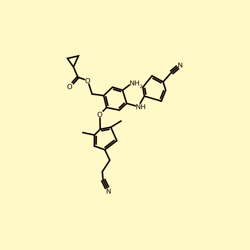 Cc1cc(CCC#N)cc(C)c1Oc1cc(Nc2ccc(C#N)cc2)c(N)cc1COC(=O)C1CC1